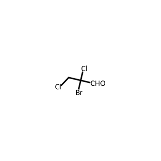 O=CC(Cl)(Br)CCl